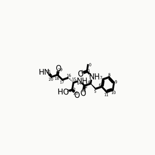 CC(=O)N[C@@H](Cc1ccccc1)C(=O)N[C@@H](CCC(=O)C=N)C(=O)O